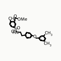 COC(=O)c1cc(S(=O)(=O)NCCc2ccc(OCc3cc(C)cc(C)c3)cc2)ccc1C